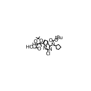 CC(C)(C)OC(=O)N(c1nc(Cl)nn2c([C@@]34CO[C@H](CO)[C@H]3OC(C)(C)O4)ccc12)C1CCCC1